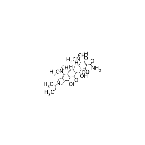 CC[C@H](C)N1Cc2c(O)c3c(c(N(C)C)c2C1)C[C@H]1C[C@H]2[C@H](N(C)C)C(O)=C(C(N)=O)C(=O)[C@@]2(O)C(O)=C1C3=O